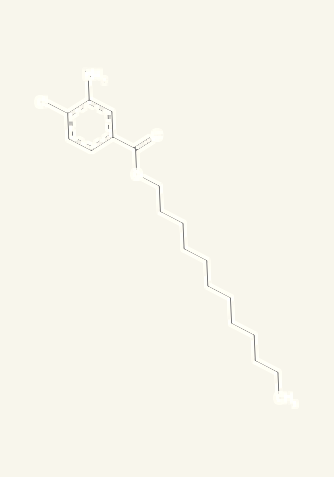 CCCCCCCCCCCCOC(=O)c1ccc(Cl)c(N)c1